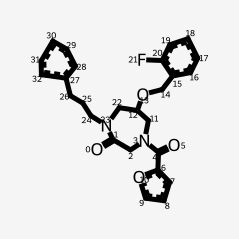 O=C1CN(C(=O)c2ccco2)CC(OCc2ccccc2F)CN1CCCc1ccccc1